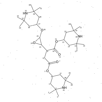 CC1(C)CC(OC(=O)CC(C(=O)OC2CC(C)(C)NC(C)(C)C2)C2OC2OC2CC(C)(C)NC(C)(C)C2)CC(C)(C)N1